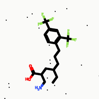 CCC(CCCc1ccc(C(F)(F)F)cc1C(F)(F)F)CC(CN)C(=O)O